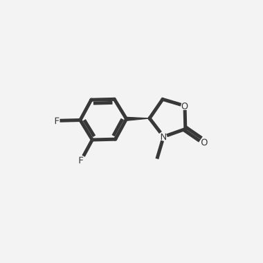 CN1C(=O)OC[C@@H]1c1ccc(F)c(F)c1